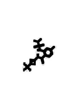 Cc1ccc(C(=O)NC23CC(C(F)(F)F)(C2)C3)c(NS(=O)(=O)C(C)C)c1